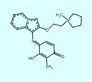 CC1=C(O)/C(=N/c2c(OCC[N+]3(C)CCCC3)nn3ccccc23)C=CC1=O